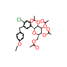 CCOc1ccc(Cc2cc([C@@H]3O[C@H](COC(C)=O)[C@@H](OC(C)=O)C(OC(C)=O)C3OC(C)=O)ccc2Cl)cc1